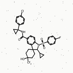 O=C(NC1(c2ccc(Cl)cc2)CC1)c1ccc2c(c1)C1(CCC(O)(C(F)(F)F)CC1)C(C1CC1)N2S(=O)(=O)c1ccc(F)cc1